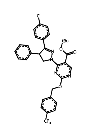 CC(C)(C)OC(=O)c1cnc(OCc2ccc(C(F)(F)F)cc2)nc1N1CC(c2ccccc2)C(c2ccc(Cl)cc2)=N1